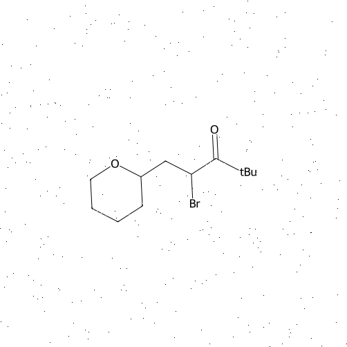 CC(C)(C)C(=O)C(Br)CC1CCCCO1